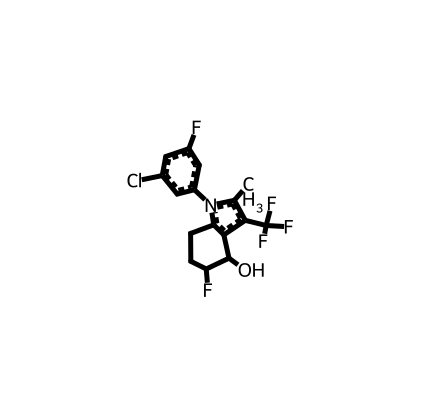 Cc1c(C(F)(F)F)c2c(n1-c1cc(F)cc(Cl)c1)CCC(F)C2O